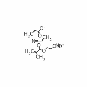 C=C(C)C(=O)OCCO.C=CC#N.C=CC(=O)[O-].[Na+]